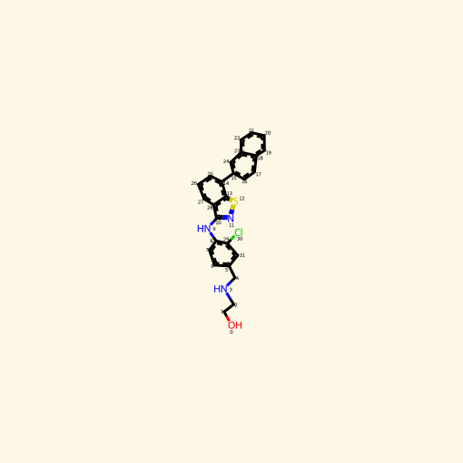 OCCNCc1ccc(Nc2nsc3c(-c4ccc5ccccc5c4)cccc23)c(Cl)c1